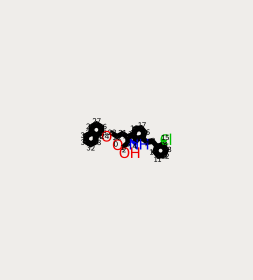 O=C(O)c1[nH]c2c(C=Cc3ccccc3Cl)cccc2c1CCCOc1cccc2ccccc12